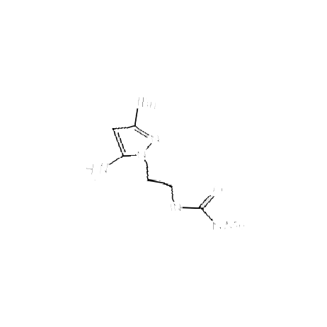 CNC(=O)NCCn1nc(C(C)(C)C)cc1N